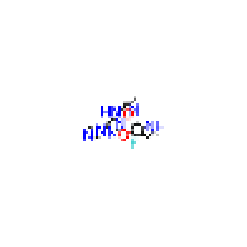 Cc1cc(Nc2cc(N3CCN(C)CC3)nc(Oc3ccc4[nH]c(C)cc4c3F)n2)on1